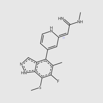 CNC(=N)/C=C1/C=C(c2c(C)c(F)c(SC)c3[nH]ncc23)C=CN1